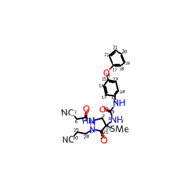 CSC(CNC(=O)CC#N)(NC(=O)Nc1ccc(Oc2ccccc2)cc1)C(=O)NCCC#N